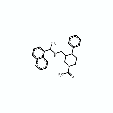 C[C@@H](NCC1CN(C(=O)C(F)(F)F)CCC1c1ccccc1)c1cccc2ccccc12